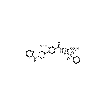 COc1cc(C(=O)NC[C@H](NS(=O)(=O)c2ccccc2)C(=O)O)ccc1N1CCC(Nc2ncccn2)CC1